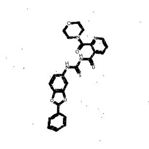 O=C(NC(=S)Nc1ccc2c(c1)OC(c1ccccc1)O2)c1cccnc1C(=O)N1CCOCC1